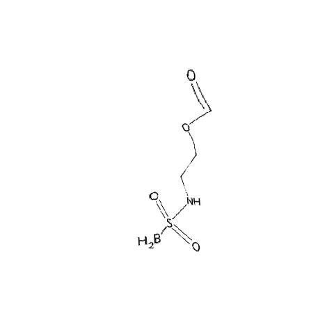 BS(=O)(=O)NCCOC=O